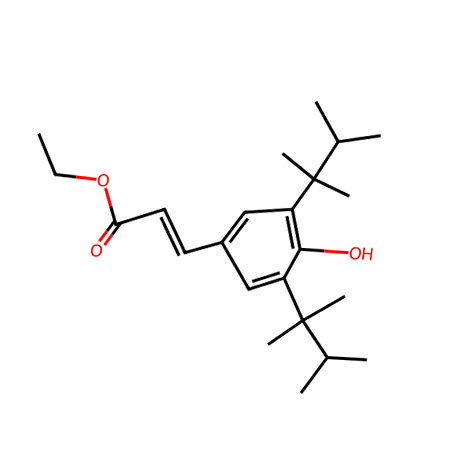 CCOC(=O)C=Cc1cc(C(C)(C)C(C)C)c(O)c(C(C)(C)C(C)C)c1